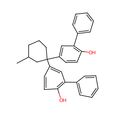 CC1CCCC(c2ccc(O)c(-c3ccccc3)c2)(c2ccc(O)c(-c3ccccc3)c2)C1